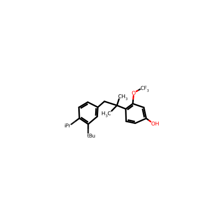 CC(C)c1ccc(CC(C)(C)c2ccc(O)cc2OC(F)(F)F)cc1C(C)(C)C